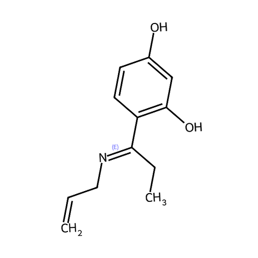 C=CC/N=C(\CC)c1ccc(O)cc1O